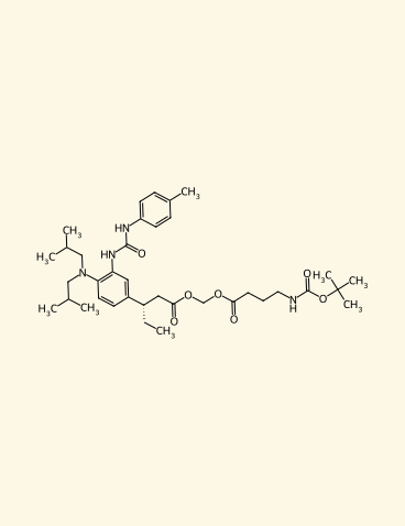 CC[C@@H](CC(=O)OCOC(=O)CCCNC(=O)OC(C)(C)C)c1ccc(N(CC(C)C)CC(C)C)c(NC(=O)Nc2ccc(C)cc2)c1